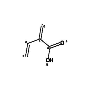 [CH]=C(C=C)C(=O)O